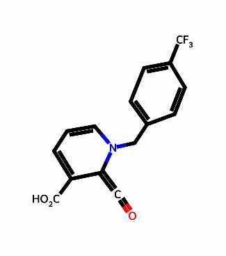 O=C=C1C(C(=O)O)=CC=CN1Cc1ccc(C(F)(F)F)cc1